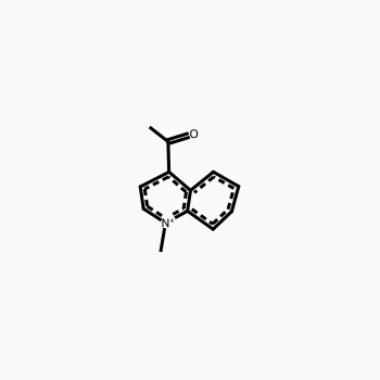 CC(=O)c1cc[n+](C)c2ccccc12